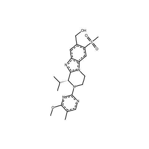 COc1nc(N2CCn3c(nc4cc(CO)c(S(C)(=O)=O)cc43)[C@H]2C(C)C)ncc1C